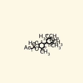 CC(=O)CC(=O)OC1C(C)CC(C2CC(C)(C)NC(C)(C)C2)CC1C